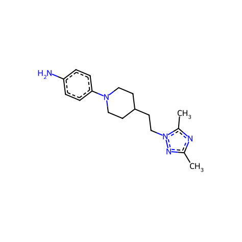 Cc1nc(C)n(CCC2CCN(c3ccc(N)cc3)CC2)n1